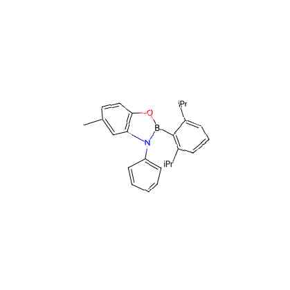 Cc1ccc2c(c1)N(c1ccccc1)B(c1c(C(C)C)cccc1C(C)C)O2